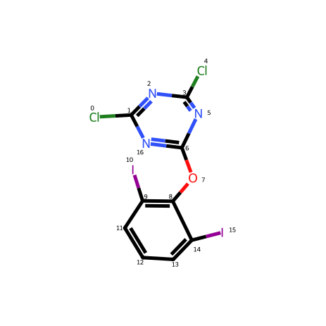 Clc1nc(Cl)nc(Oc2c(I)cccc2I)n1